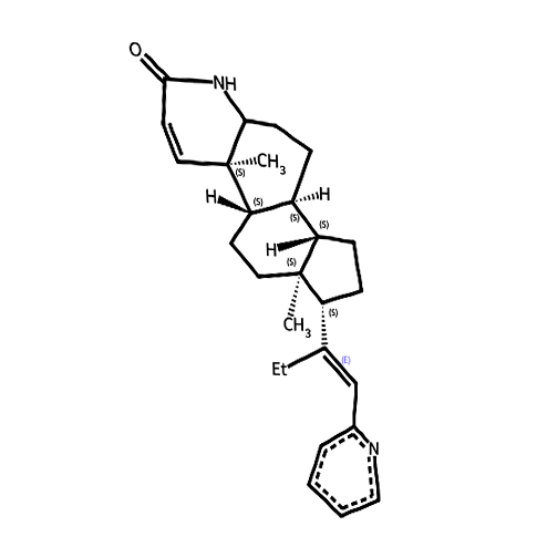 CC/C(=C\c1ccccn1)[C@H]1CC[C@H]2[C@@H]3CCC4NC(=O)C=C[C@]4(C)[C@H]3CC[C@]12C